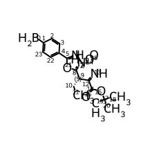 Bc1ccc(-c2nnc([C@@H](CC)C(=N)C(=O)OC(C)(C)C)o2)cc1.O.O